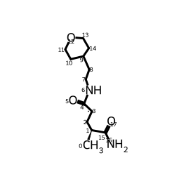 C[C@@H](C[CH]C(=O)NCCC1CCOCC1)C(N)=O